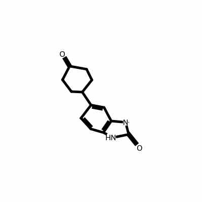 O=C1CCC(c2ccc3c(c2)[N]C(=O)N3)CC1